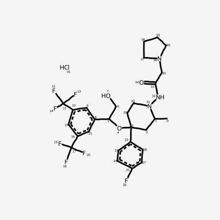 CC1CC(OC(CO)c2cc(C(F)(F)F)cc(C(F)(F)F)c2)(c2ccc(F)cc2)CCN1NC(=O)CN1CCCC1.Cl